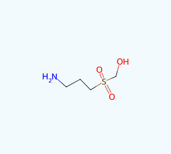 NCCCS(=O)(=O)CO